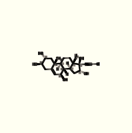 C[C@]12C[C@@H](O)[C@H](O)CC1=C[C@H](O)[C@@H]1[C@@H]2CC[C@@]2(C)[C@H]1C[C@@H](O)[C@@]2(O)C#CCl